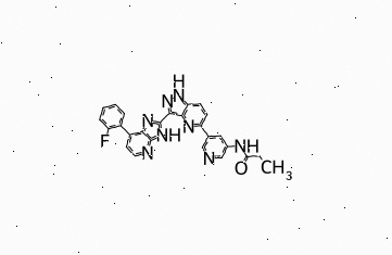 CCC(=O)Nc1cncc(-c2ccc3[nH]nc(-c4nc5c(-c6ccccc6F)ccnc5[nH]4)c3n2)c1